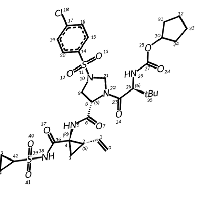 C=C[C@@H]1C[C@]1(NC(=O)[C@@H]1CN(S(=O)(=O)c2ccc(Cl)cc2)CN1C(=O)[C@@H](NC(=O)OC1CCCC1)C(C)(C)C)C(=O)NS(=O)(=O)C1CC1